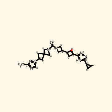 O=C(N1CC(C23CC(c4nnc(C5CC5)[nH]4)(C2)C3)C1)N1CC2(CC(n3cnc(C(F)(F)F)n3)C2)C1